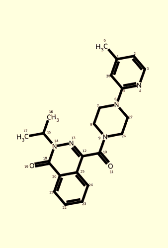 Cc1ccnc(N2CCN(C(=O)c3nn(C(C)C)c(=O)c4ccccc34)CC2)c1